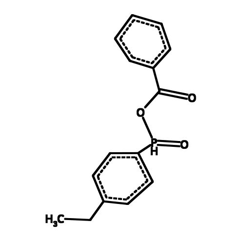 CCc1ccc([PH](=O)OC(=O)c2ccccc2)cc1